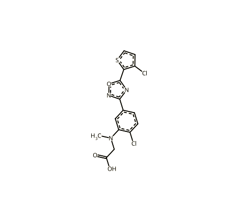 CN(CC(=O)O)c1cc(-c2noc(-c3sccc3Cl)n2)ccc1Cl